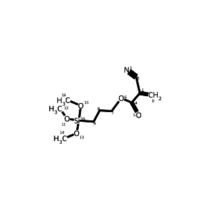 C=C(C#N)C(=O)OCCC[Si](OC)(OC)OC